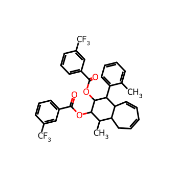 Cc1ccccc1C1C2C=CC=CCC2C(C)C(OC(=O)c2cccc(C(F)(F)F)c2)C1OC(=O)c1cccc(C(F)(F)F)c1